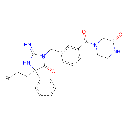 CC(C)CCC1(c2ccccc2)NC(=N)N(Cc2cccc(C(=O)N3CCNC(=O)C3)c2)C1=O